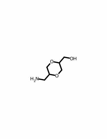 NCC1COC(CO)CO1